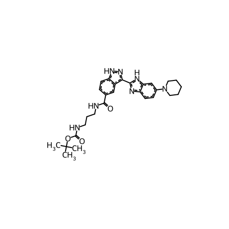 CC(C)(C)OC(=O)NCCCNC(=O)c1ccc2[nH]nc(-c3nc4ccc(N5CCCCC5)cc4[nH]3)c2c1